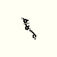 Cc1c(OCCCCC2CCN(C)CC2)cccc1-c1nc2cc(Cl)cc(C)c2[nH]1